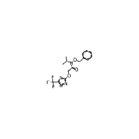 CC(C)N(OCc1ccccc1)C(=O)COc1nnc(C(F)(F)F)s1